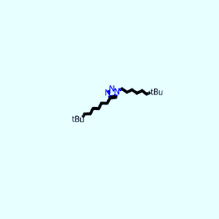 CC(C)(C)CCCCCCc1cn(CCCCCCC(C)(C)C)nn1